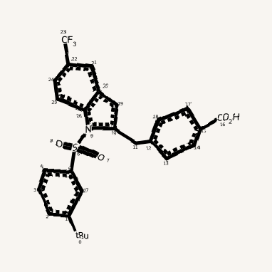 CC(C)(C)c1cccc(S(=O)(=O)n2c(Cc3ccc(C(=O)O)cc3)cc3cc(C(F)(F)F)ccc32)c1